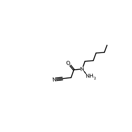 CCCCCN(N)C(=O)CC#N